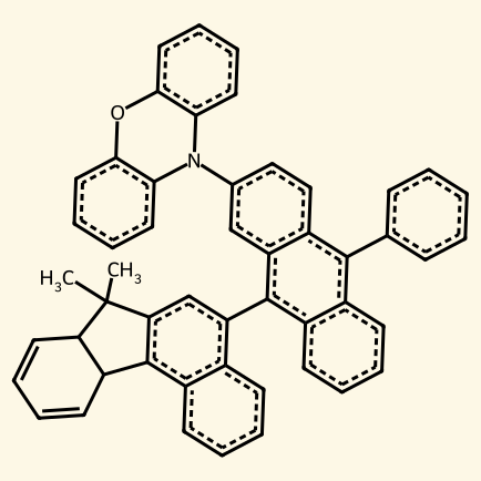 CC1(C)c2cc(-c3c4ccccc4c(-c4ccccc4)c4ccc(N5c6ccccc6Oc6ccccc65)cc34)c3ccccc3c2C2C=CC=CC21